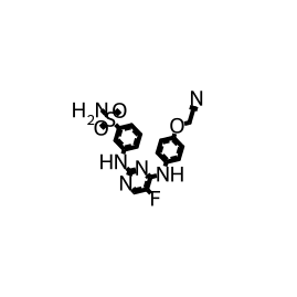 N#CCOc1ccc(Nc2nc(Nc3cccc(S(N)(=O)=O)c3)ncc2F)cc1